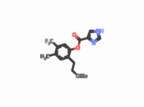 COCCc1cc(C)c(C(F)(F)F)cc1OC(=O)c1c[nH]cn1